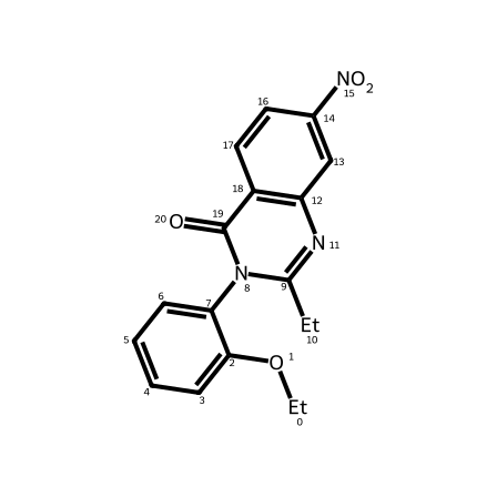 CCOc1ccccc1-n1c(CC)nc2cc([N+](=O)[O-])ccc2c1=O